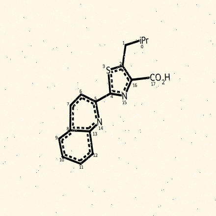 CC(C)Cc1sc(-c2ccc3ccccc3n2)nc1C(=O)O